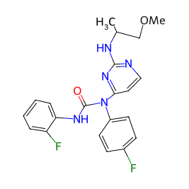 COCC(C)Nc1nccc(N(C(=O)Nc2ccccc2F)c2ccc(F)cc2)n1